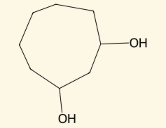 OC1CCCCCC(O)C1